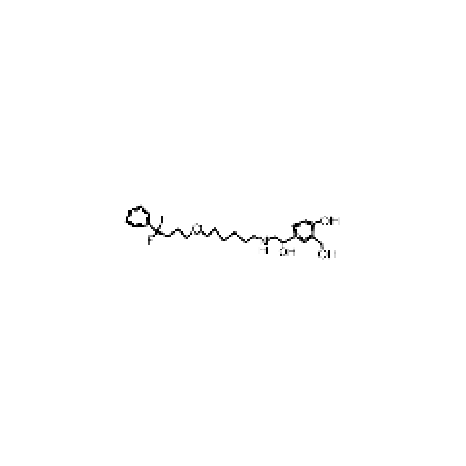 OCc1cc([C@H](O)CNCCCCCCOCCCC(F)(F)c2ccccc2)ccc1O